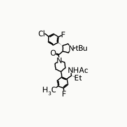 CC[C@@H](NC(C)=O)c1cc(F)c(C)cc1C1CCN(C(=O)C2CN(C(C)(C)C)C[C@H]2c2ccc(Cl)cc2F)CC1